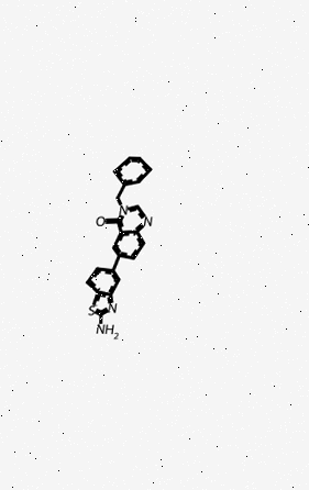 Nc1nc2cc(-c3ccc4ncn(Cc5ccccc5)c(=O)c4c3)ccc2s1